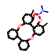 Cc1ccc2oc3ccccc3c3ccccc3oc3ccc(C)c4op(N(C)C)oc1c2c34